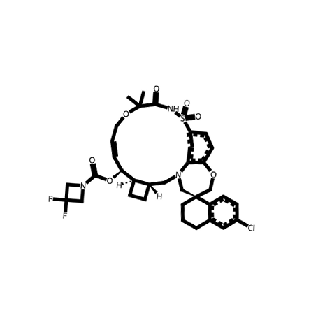 CC1(C)OCC=C[C@H](OC(=O)N2CC(F)(F)C2)[C@@H]2CC[C@H]2CN2C[C@@]3(CCCc4cc(Cl)ccc43)COc3ccc(cc32)S(=O)(=O)NC1=O